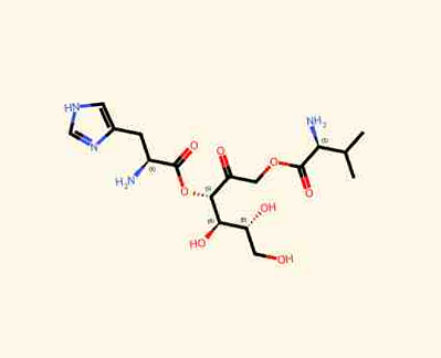 CC(C)[C@H](N)C(=O)OCC(=O)[C@@H](OC(=O)[C@@H](N)Cc1c[nH]cn1)[C@H](O)[C@H](O)CO